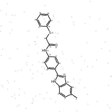 Cc1ccc2[nH]c(-c3ccc(NC(=O)CSc4ccccc4)cc3)nc2c1